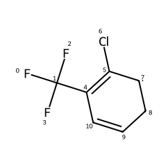 FC(F)(F)C1=C(Cl)[CH]CC=C1